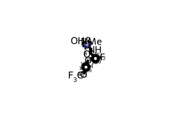 CN/C=C\C(=C/C=O)NC(=O)c1cc(F)ccc1Oc1ccc(OC(F)(F)F)cc1